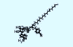 CCCCCCCCCCCCCCCCCCOCC(COP(=O)(O)OC[C@@]1(C)O[C@@H](c2ccc3c(N)ncnn23)[C@H](O)[C@@H]1O)OCc1cnc(C#N)cn1